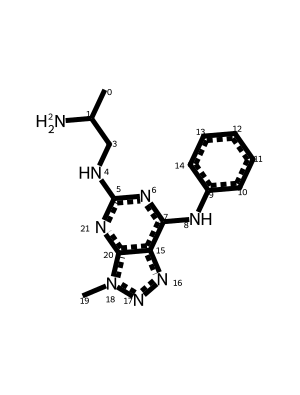 CC(N)CNc1nc(Nc2ccccc2)c2nnn(C)c2n1